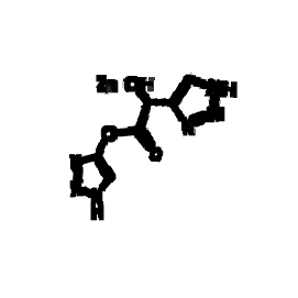 O=C(Oc1c[nH]nn1)C(O)c1c[nH]nn1.[Zn]